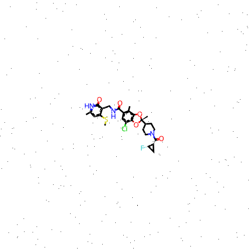 CSc1cc(C)[nH]c(=O)c1CNC(=O)c1cc(Cl)c2c(c1C)O[C@](C)(C1CCN(C(=O)[C@@H]3C[C@@H]3F)CC1)O2